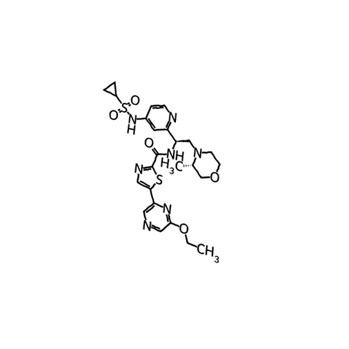 CCOc1cncc(-c2cnc(C(=O)N[C@H](CN3CCOC[C@@H]3C)c3cc(NS(=O)(=O)C4CC4)ccn3)s2)n1